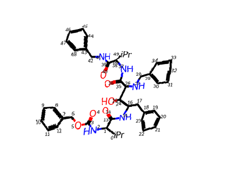 CC(C)C(NC(=O)OCc1ccccc1)C(=O)NC(Cc1ccccc1)C(O)C(NCc1ccccc1)C(=O)N[C@@H](C(=O)NCc1ccccc1)C(C)C